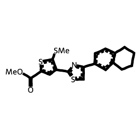 COC(=O)c1cc(-c2nc(-c3ccc4c(c3)CCCC4)cs2)c(SC)s1